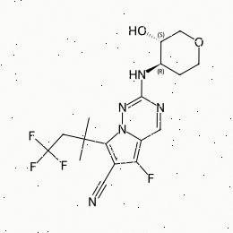 CC(C)(CC(F)(F)F)c1c(C#N)c(F)c2cnc(N[C@@H]3CCOC[C@H]3O)nn12